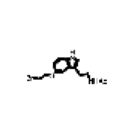 CC(=O)NCCc1c[nH]c2ccc(OCCBr)cc12